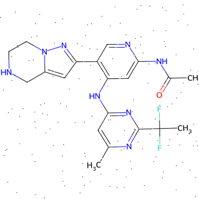 CC(=O)Nc1cc(Nc2cc(C)nc(C(C)(F)F)n2)c(-c2cc3n(n2)CCNC3)cn1